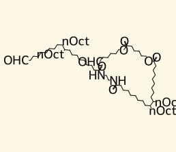 CCCCCCCCC(CCCCCCCCC=O)C(CCCCCCCC)CCCCCCCCC(=O)NCCNC(=O)CCCCCCCCC(CCCCCCCC)C(CCCCCCCC)CCCCCCCCC(=O)OCCCCCC(=O)OCCCCCC=O